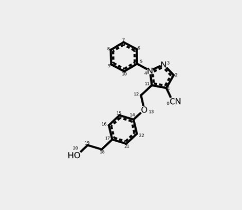 N#Cc1cnn(-c2ccccc2)c1COc1ccc(CCO)cc1